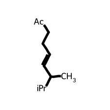 CC(=O)CCC=CC(C)C(C)C